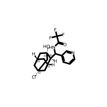 O=C(NC(c1cccnc1)[C@H]1[C@H]2C[C@@H]3C[C@](Cl)(C2)C[C@@]1(O)C3)C(F)(F)F